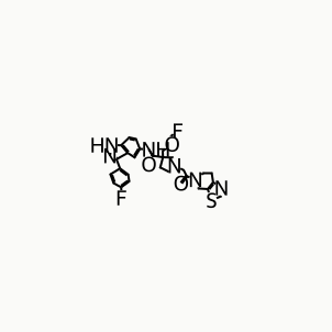 O=C(CN1CCC(COCF)(C(=O)Nc2ccc3[nH]nc(-c4ccc(F)cc4)c3c2)C1)N1CCc2ncsc2C1